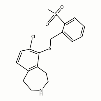 CS(=O)(=O)c1ccccc1CSc1c(Cl)ccc2c1CCNCC2